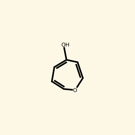 OC1=CC=COC=C1